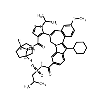 COc1ccc2c(c1)C=C(c1c(C(=O)N3C[C@H]4CC[C@@H](C3)N4C)cnn1C(C)C)Cn1c-2c(C2CCCCC2)c2ccc(C(=O)NS(=O)(=O)CC(C)C)cc21